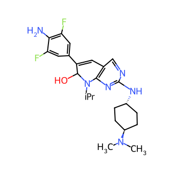 CC(C)N1c2nc(N[C@H]3CC[C@H](N(C)C)CC3)ncc2C=C(c2cc(F)c(N)c(F)c2)C1O